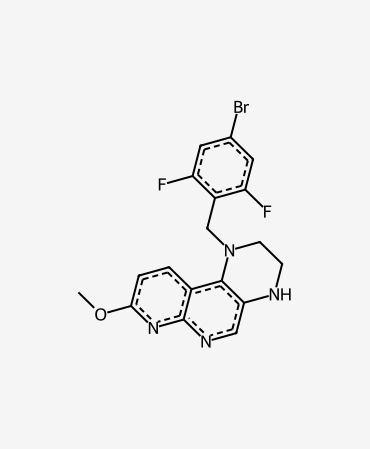 COc1ccc2c3c(cnc2n1)NCCN3Cc1c(F)cc(Br)cc1F